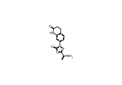 C=C(N)c1nn(-c2ccc3c(c2)NC(=O)CC3)c(=O)o1